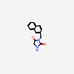 O=C1CNC(=O)N1Cc1ccc2ccccc2c1